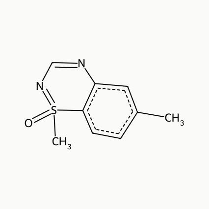 Cc1ccc2c(c1)N=CN=S2(C)=O